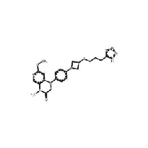 COc1cc2c(cn1)N(C)C(=O)CN2c1ccc(N2CC(OCCCc3nnn[nH]3)C2)cc1